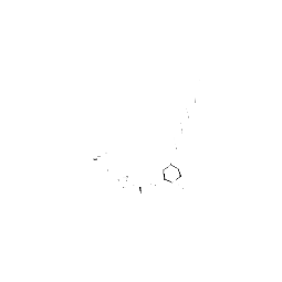 CCCCCCCCCCOc1cccc(CCC(=O)N2CC(OCP(=O)(O)O)C2)c1.N